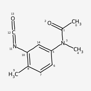 CC(=O)N(C)c1ccc(C)c(N=C=O)c1